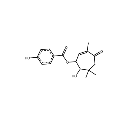 CC1=CC(OC(=O)c2ccc(O)cc2)C(O)C(C)(C)CC1=O